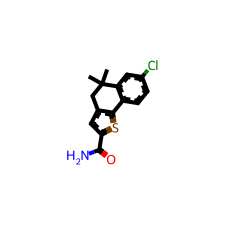 CC1(C)Cc2cc(C(N)=O)sc2-c2ccc(Cl)cc21